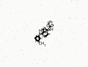 Cc1cccc(Nc2nccn3c(NC(=O)OC(C)C)nnc23)c1